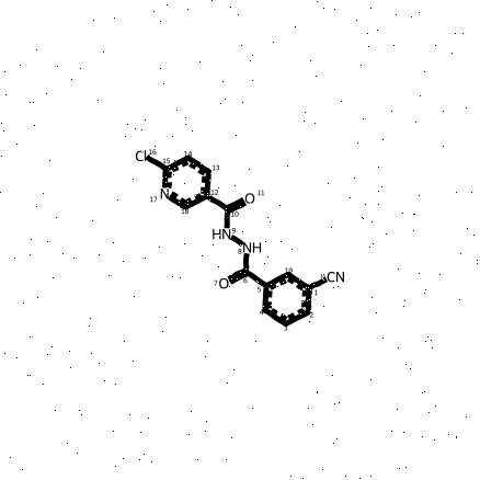 N#Cc1cccc(C(=O)NNC(=O)c2ccc(Cl)nc2)c1